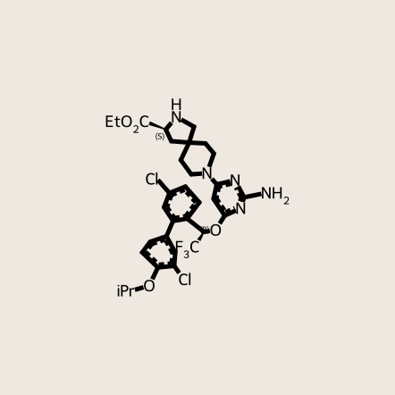 CCOC(=O)[C@@H]1CC2(CCN(c3cc(O[C@H](c4ccc(Cl)cc4-c4ccc(OC(C)C)c(Cl)c4)C(F)(F)F)nc(N)n3)CC2)CN1